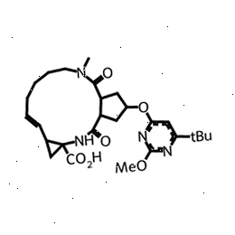 COc1nc(OC2CC3C(=O)NC4(C(=O)O)CC4/C=C/CCCCN(C)C(=O)C3C2)cc(C(C)(C)C)n1